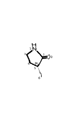 O=C1NCC[C@H]1I